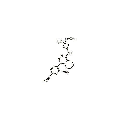 C#Cc1ccc(-c2nnc(NC3CC(C)(OC)C3)c3c2CCCC3)c(C#N)c1